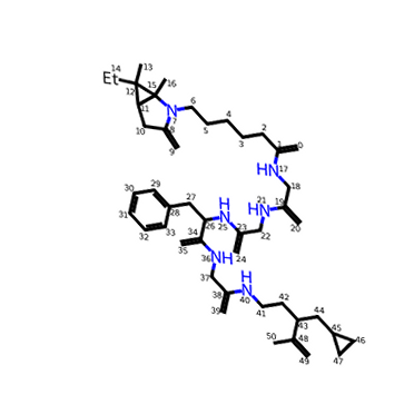 C=C(CCCCCN1C(=C)CC2C(C)(CC)C21C)NCC(=C)NCC(=C)NC(Cc1ccccc1)C(=C)NCC(=C)NCCC(CC1CC1)C(=C)C